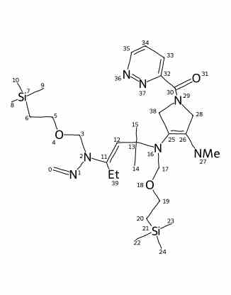 C=NN(COCC[Si](C)(C)C)/C(=C/C(C)(C)N(COCC[Si](C)(C)C)C1=C(NC)CN(C(=O)c2cccnn2)C1)CC